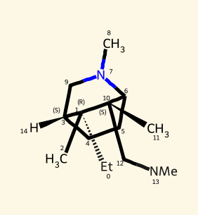 CC[C@]1(C)[C@@H]2CCC(N(C)C2)[C@]1(C)CNC